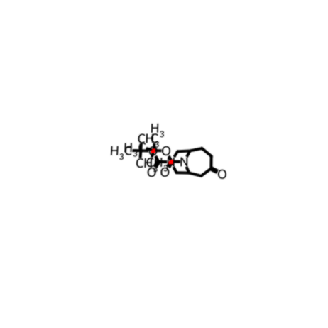 CC(C)(C)OC(=O)N1CC2CCC(=O)CC(C1)N2C(=O)OC(C)(C)C